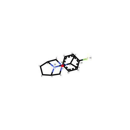 CC(C)N1CC2CCC(C1)N2c1ccc(F)cc1